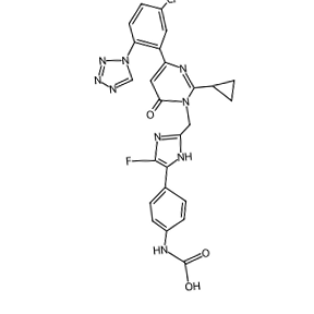 O=C(O)Nc1ccc(-c2[nH]c(Cn3c(C4CC4)nc(-c4cc(Cl)ccc4-n4cnnn4)cc3=O)nc2F)cc1